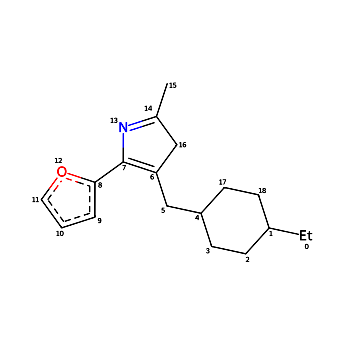 CCC1CCC(CC2=C(c3ccco3)N=C(C)C2)CC1